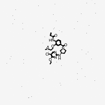 C=CC(=O)Nc1ccc(C(=O)N2CC[C@@H](Nc3ncc(Cl)c(OCC)n3)C2)cc1OCCN(C)C